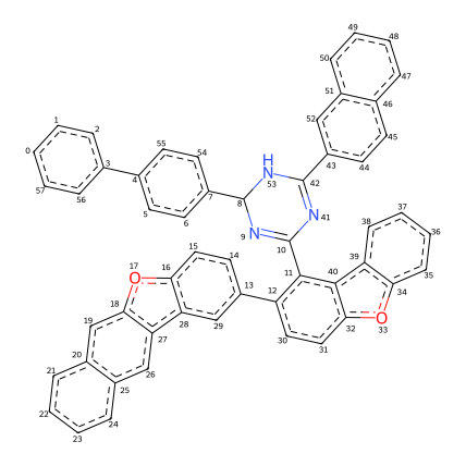 c1ccc(-c2ccc(C3N=C(c4c(-c5ccc6oc7cc8ccccc8cc7c6c5)ccc5oc6ccccc6c45)N=C(c4ccc5ccccc5c4)N3)cc2)cc1